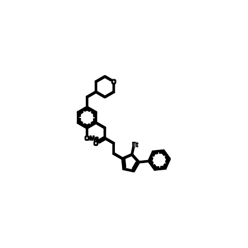 CCC1C(CCC(=O)Cc2cc(CC3CCOCC3)ccc2OC)=CC=C1c1ccccc1